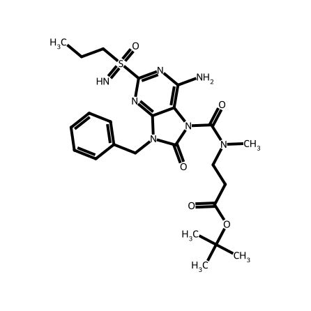 CCCS(=N)(=O)c1nc(N)c2c(n1)n(Cc1ccccc1)c(=O)n2C(=O)N(C)CCC(=O)OC(C)(C)C